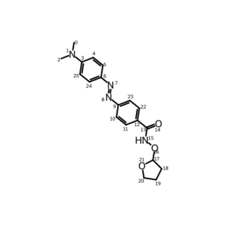 CN(C)c1ccc(/N=N/c2ccc(C(=O)NOC3CCCO3)cc2)cc1